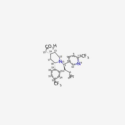 CC(C)CC[C@H](c1ccc(C(F)(F)F)nc1)N1CC[C@@H](CC(=O)O)C[C@H]1c1ccc(C(F)(F)F)cc1